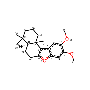 COc1cc2oc3c(c2cc1OC)[C@@]1(C)CCCC(C)(C)[C@@H]1CC3